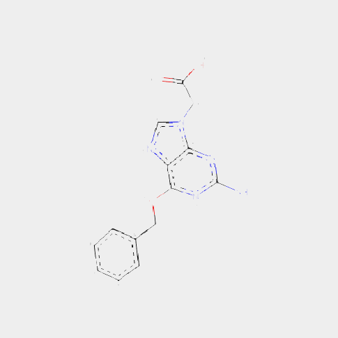 Nc1nc(OCc2ccccc2)c2ncn(CC(=O)O)c2n1